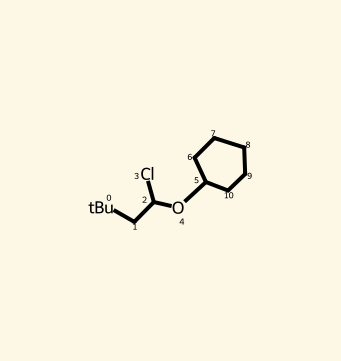 CC(C)(C)CC(Cl)OC1CCCCC1